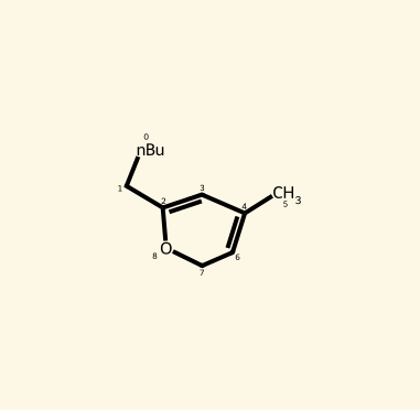 CCCCCC1=CC(C)=CCO1